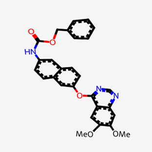 COc1cc2ncnc(Oc3ccc4cc(NC(=O)OCc5ccccc5)ccc4c3)c2cc1OC